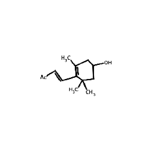 CC(=O)/C=C/C1=C(C)CC(O)CC1(C)C